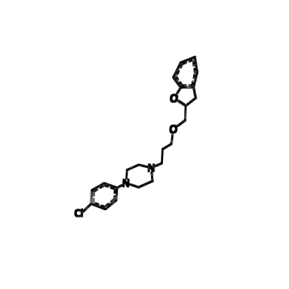 Clc1ccc(N2CCN(CCCOCC3Cc4ccccc4O3)CC2)cc1